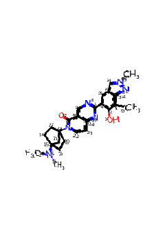 Cc1c(O)c(-c2ncc3c(=O)n(C45CCC(N(C)C)(CC4)C5)ccc3n2)cc2cn(C)nc12